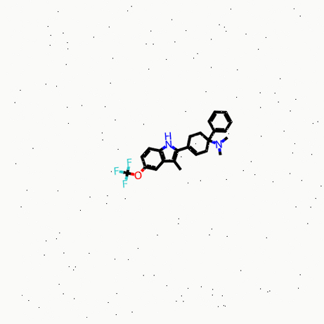 Cc1c(C2=CCC(c3ccccc3)(N(C)C)CC2)[nH]c2ccc(OC(F)(F)F)cc12